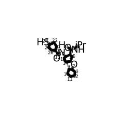 CC(C)NC(=O)c1cc(Oc2ccccc2)ccc1NC(=O)c1ccc(S)cc1